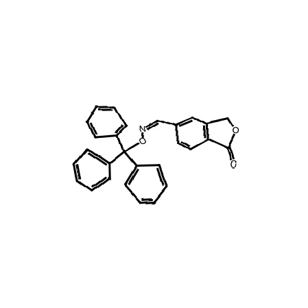 O=C1OCc2cc(/C=N\OC(c3ccccc3)(c3ccccc3)c3ccccc3)ccc21